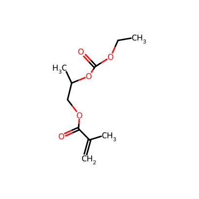 C=C(C)C(=O)OCC(C)OC(=O)OCC